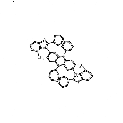 Cc1cccc2nc(-c3ccccc3)n(-c3ccc4c(-c5ccccc5)c5cc(-n6c(-c7ccccc7)nc7cccc(C)c76)ccc5c(-c5ccccc5)c4c3)c12